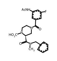 CC(=O)Nc1cc(F)cc(C(=O)N2CCN(C(=O)O)[C@H](C(=O)N(C)Cc3ccccc3)C2)c1